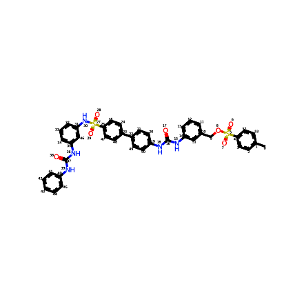 Cc1ccc(S(=O)(=O)OCc2cccc(NC(=O)Nc3ccc(-c4ccc(S(=O)(=O)Nc5cccc(NC(=O)Nc6ccccc6)c5)cc4)cc3)c2)cc1